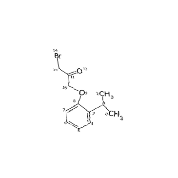 CC(C)c1ccccc1OCC(=O)CBr